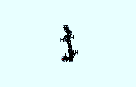 O=C(Nc1ccc(C(=O)N2CC(c3nc4ccccc4s3)C2)s1)[C@@H]1C[C@@H](OCCCCCCCCO[C@H]2CN[C@H](C(=O)Nc3ccc(C(=O)N4CC(c5nc6ccccc6s5)C4)s3)C2)CN1